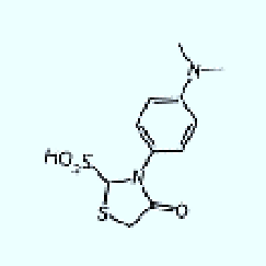 CN(C)c1ccc(N2C(=O)CSC2S(=O)(=O)O)cc1